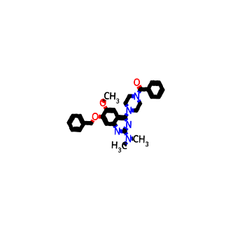 COc1cc2c(N3CCN(C(=O)c4ccccc4)CC3)nc(N(C)C)nc2cc1OCc1ccccc1